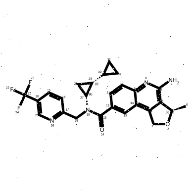 C[C@H]1OCc2c1c(N)nc1ccc(C(=O)N(Cc3ccc(C(F)(F)F)cn3)[C@@H]3C[C@@H]3C3CC3)cc21